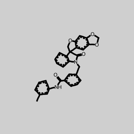 Cc1cccc(NC(=O)c2cccc(CN3C(=O)C4(COc5cc6c(cc54)OCO6)c4ccccc43)c2)c1